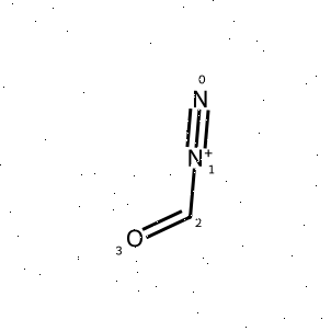 N#[N+]C=O